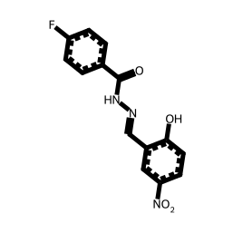 O=C(NN=Cc1cc([N+](=O)[O-])ccc1O)c1ccc(F)cc1